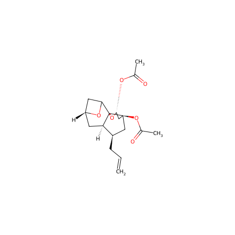 C=CC[C@@H]1C[C@]2(OC(C)=O)C[C@@H](OC(C)=O)O[C@@]23C2C[C@@H](C[C@H]13)O2